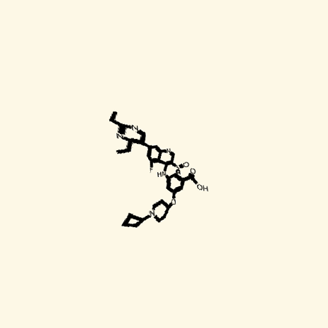 CCc1ncc(-c2cc(F)c3c(Nc4cc(OC5CCN(C6CCC6)CC5)cc(C(=O)O)c4)c([SH](=O)=O)cnc3c2)c(CC)n1